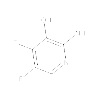 Nc1ncc(F)c(F)c1O